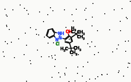 CC(C)(C)c1cc(N2Nc3ccccc3N2Cl)c(O)c(C(C)(C)C)c1